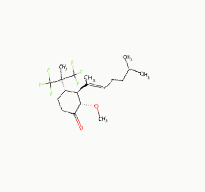 CO[C@@H]1C(=O)CC[C@H](C(C)(C(F)(F)F)C(F)(F)F)[C@H]1/C(C)=C/CCC(C)C